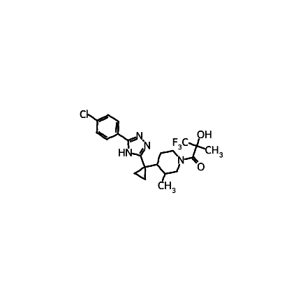 CC1CN(C(=O)C(C)(O)C(F)(F)F)CCC1C1(c2nnc(-c3ccc(Cl)cc3)[nH]2)CC1